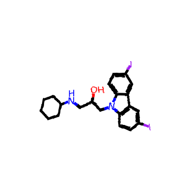 OC(CNC1CCCCC1)Cn1c2ccc(I)cc2c2cc(I)ccc21